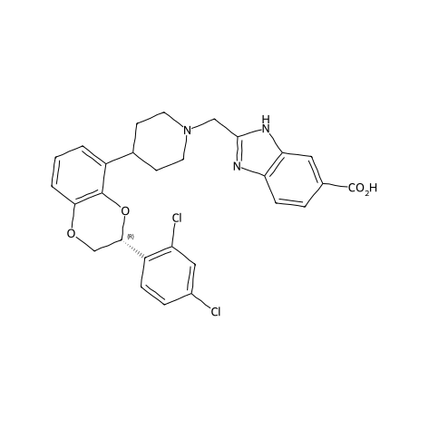 O=C(O)c1ccc2nc(CN3CCC(c4cccc5c4O[C@H](c4ccc(Cl)cc4Cl)CO5)CC3)[nH]c2c1